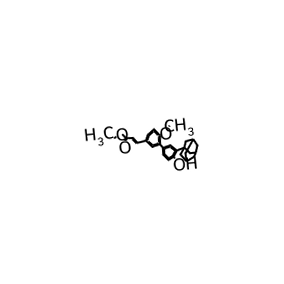 CCOC(=O)/C=C/c1ccc(OC)c(-c2ccc(O)c(C34CC5CC(CC(C5)C3)C4)c2)c1